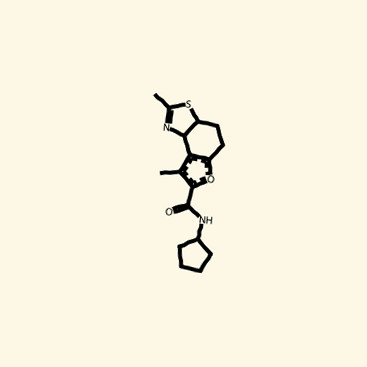 CC1=NC2c3c(oc(C(=O)NC4CCCC4)c3C)CCC2S1